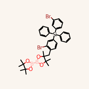 CC1(C)OB(B2OC(C)(C)C(C)(Cc3ccc([Si](c4ccccc4)(c4ccccc4)c4cccc(Br)c4)cc3Br)O2)OC1(C)C